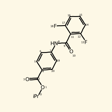 CC(C)OC(=O)c1ccc(NC(=O)c2c(F)cccc2F)cc1